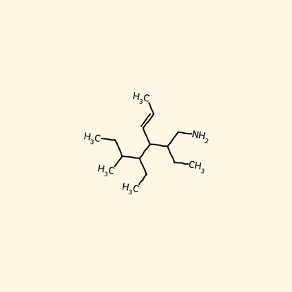 CC=CC(C(CC)CN)C(CC)C(C)CC